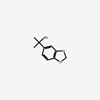 CC(C)(C)C(C)(C)c1ccc2c(c1)OCO2